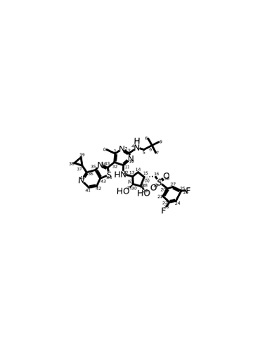 Cc1nc(NCC(C)(C)C)nc(NC2C[C@H](CS(=O)(=O)c3cc(F)cc(F)c3)[C@@H](O)[C@H]2O)c1-c1nc2c(C3CC3)nccc2s1